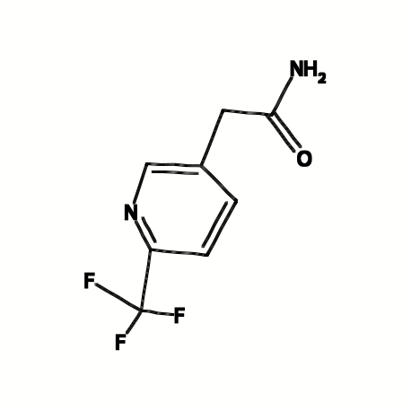 NC(=O)Cc1ccc(C(F)(F)F)nc1